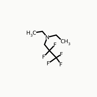 CCN(CC)CC(F)(F)C(F)(F)F